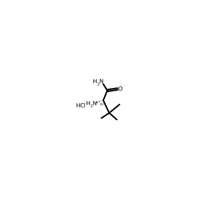 CC(C)(C)[C@H](N)C(N)=O.Cl